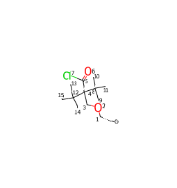 CCOCC(C(=O)Cl)(C(C)(C)C)C(C)(C)C